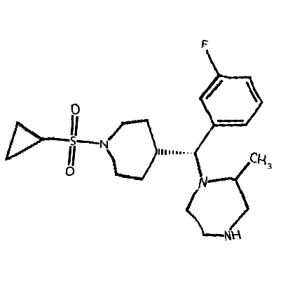 CC1CNCCN1[C@@H](c1cccc(F)c1)C1CCN(S(=O)(=O)C2CC2)CC1